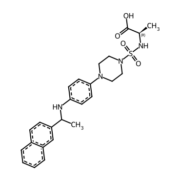 CC(Nc1ccc(N2CCN(S(=O)(=O)N[C@H](C)C(=O)O)CC2)cc1)c1ccc2ccccc2c1